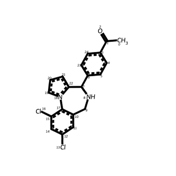 CC(=O)c1ccc(C2NCc3cc(Cl)cc(Cl)c3-n3cccc32)cc1